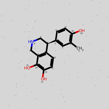 Cc1cc([C@@H]2CNCc3c2ccc(O)c3O)ccc1O